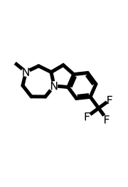 CN1CCCN2c3cc(C(F)(F)F)ccc3CC2C1